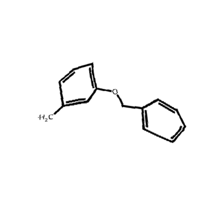 [CH2]c1cccc(OCc2ccccc2)c1